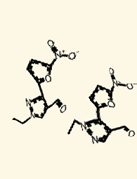 CCn1cc(C=O)c(-c2ccc([N+](=O)[O-])o2)n1.CCn1ncc(C=O)c1-c1ccc([N+](=O)[O-])o1